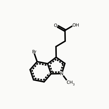 Cn1cc(CCC(=O)O)c2c(Br)cccc21